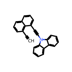 C#Cc1cccc2cccc(C#Cn3c4ccccc4c4ccccc43)c12